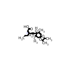 CCC/C(C#CC1(O)C(C)=CC2(CC1(C)C)OC(C)C(C)O2)=C/C(=O)O